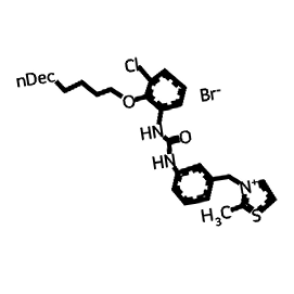 CCCCCCCCCCCCCCOc1c(Cl)cccc1NC(=O)Nc1cccc(C[n+]2ccsc2C)c1.[Br-]